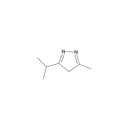 CC1=NN=C(C(C)C)C1